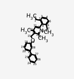 CCc1cccc(CC)c1-c1cc(C)c(COc2cccc(-c3ccccc3)c2)c(C)n1